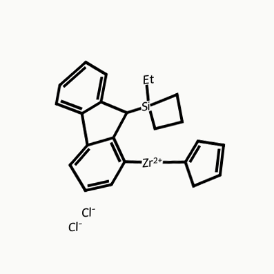 CC[Si]1(C2c3ccccc3-c3ccc[c]([Zr+2][C]4=CC=CC4)c32)CCC1.[Cl-].[Cl-]